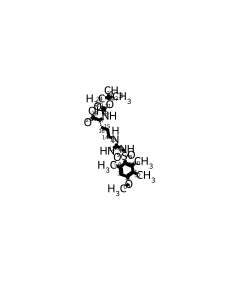 COc1cc(C)c(S(=O)(=O)NC(=N)NCCC[C@@H](NC(=O)OC(C)(C)C)C(=O)O)c(C)c1C